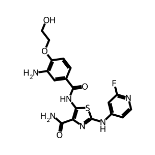 NC(=O)c1nc(Nc2ccnc(F)c2)sc1NC(=O)c1ccc(OCCO)c(N)c1